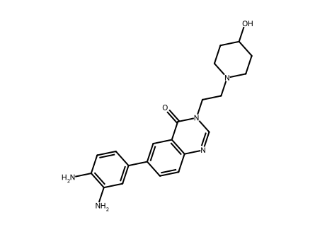 Nc1ccc(-c2ccc3ncn(CCN4CCC(O)CC4)c(=O)c3c2)cc1N